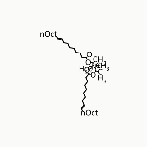 CCCCCCCCC=CCCCCCCCC(=O)OC(C)[N+](C)(C)C(C)OC(=O)CCCCCCCC=CCCCCCCCC